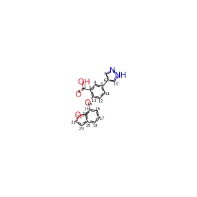 O=C(O)c1cc(-c2cn[nH]c2)ccc1Oc1cccc2ccoc12